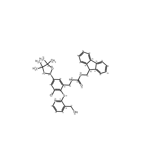 CC1(C)OB(c2cc(Cl)c(Sc3ncccc3CO)c(CNC(=O)OCC3c4ccccc4-c4ccccc43)c2)OC1(C)C